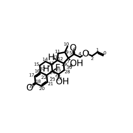 C=CCOCC(=O)[C@@]1(O)C(C)C[C@H]2[C@@H]3CCC4=CC(=O)C=C[C@]4(C)[C@@]3(F)C(O)C[C@@]21C